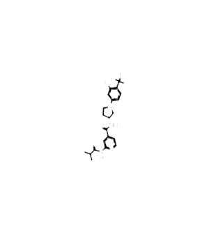 CC(C)C(=O)Nc1cc(C(=O)N[C@@H]2CCN(c3ccc(C(F)(F)F)c(F)c3)C2)ccn1